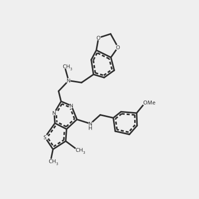 COc1cccc(CNc2nc(CN(C)Cc3ccc4c(c3)OCO4)nc3sc(C)c(C)c23)c1